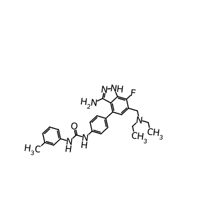 CCN(CC)Cc1cc(-c2ccc(NC(=O)Nc3cccc(C)c3)cc2)c2c(N)n[nH]c2c1F